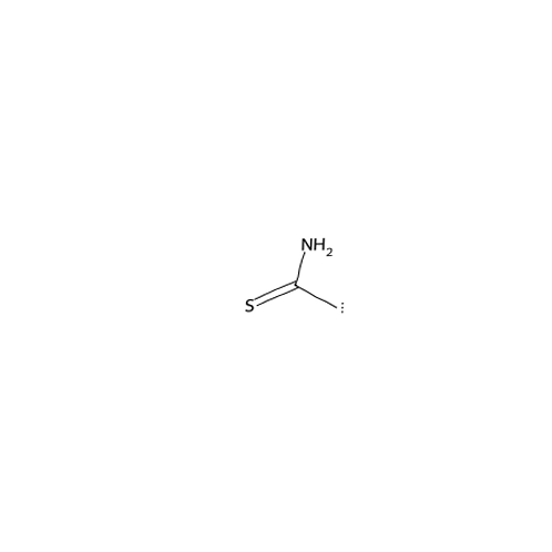 [C]C(N)=S